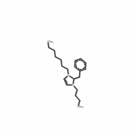 CCCCCCCCCCCCCCCCN1C=CN(CCCCCCCCCCCCC)C1Cc1ccccc1